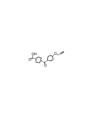 C#CCOc1ccc(C(=O)c2ccc(C(=O)O)cc2)cc1